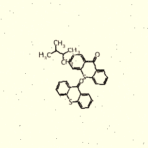 CC(C)C(C)C.O=c1c2ccccc2sc2ccccc12.O=c1c2ccccc2sc2ccccc12